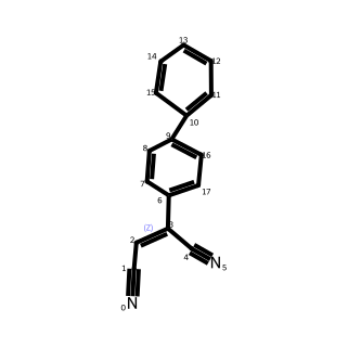 N#C/C=C(\C#N)c1ccc(-c2ccccc2)cc1